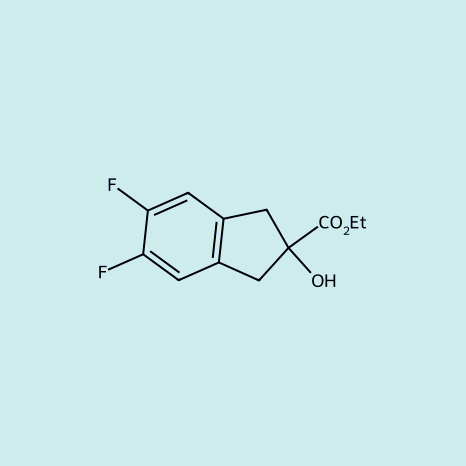 CCOC(=O)C1(O)Cc2cc(F)c(F)cc2C1